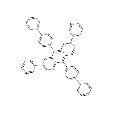 c1ccc(-c2ccc(-c3c4ccc(-c5cccnc5)cc4c(-c4ccc(-c5ccccc5)cc4)c4cc(-c5cccnc5)ccc34)cc2)cc1